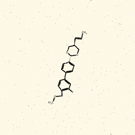 C/C=C/[C@H]1CO[C@H](c2ccc(-c3ccc(COC)c(F)c3)cc2)OC1